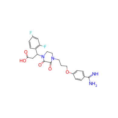 N=C(N)c1ccc(OCCCN2CCN(C(CC(=O)O)c3ccc(F)cc3F)C(=O)C2=O)cc1